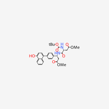 COC(=O)C[C@H](NC(=O)OC(C)(C)C)C(=O)N[C@@H](CC(=O)OC)c1ccc(-c2ccc(O)c3ccccc23)cc1